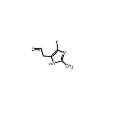 Cc1nc(F)c(CC=O)[nH]1